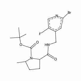 CC1CCC(C(=O)NCc2cc(Br)ncc2F)N1C(=O)OC(C)(C)C